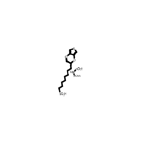 CCCCCCCCNCCCCCCCC.O=S(=O)(O)CCCCCCCCC1COc2cscc2O1